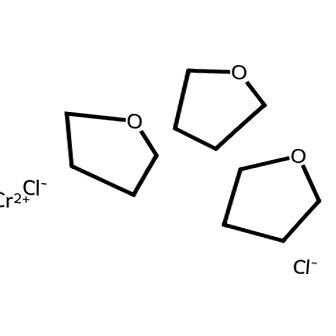 C1CCOC1.C1CCOC1.C1CCOC1.[Cl-].[Cl-].[Cr+2]